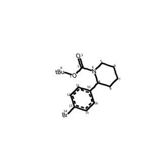 CC(C)(C)OC(=O)N1CCCCC1c1ccc(Br)cc1